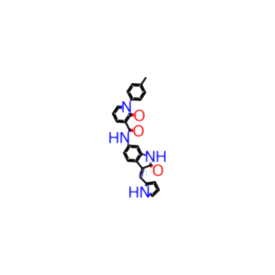 Cc1ccc(-n2cccc(C(=O)Nc3ccc4c(c3)NC(=O)/C4=C\c3ccc[nH]3)c2=O)cc1